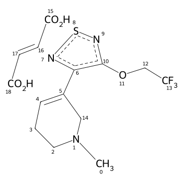 CN1CCC=C(c2nsnc2OCC(F)(F)F)C1.O=C(O)C=CC(=O)O